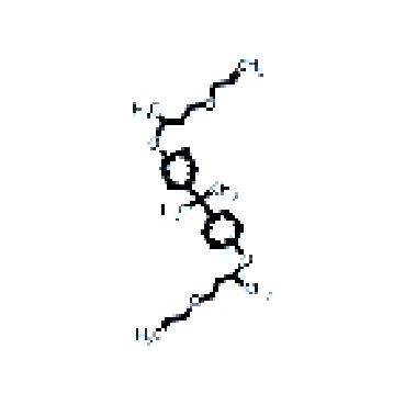 C=CCOCCC(C)Oc1ccc(C(C)(C)c2ccc(OC(C)CCOCC=C)cc2)cc1